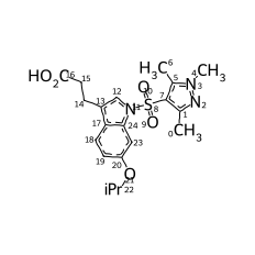 Cc1nn(C)c(C)c1S(=O)(=O)n1cc(CCC(=O)O)c2ccc(OC(C)C)cc21